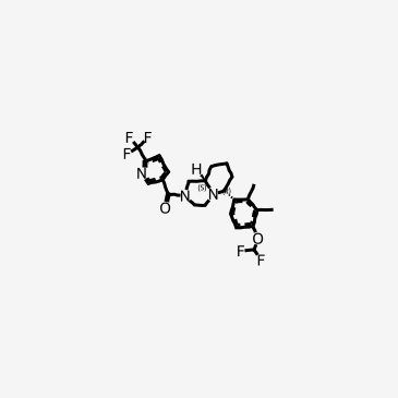 Cc1c(OC(F)F)ccc([C@H]2CCC[C@H]3CN(C(=O)c4ccc(C(F)(F)F)nc4)CCN32)c1C